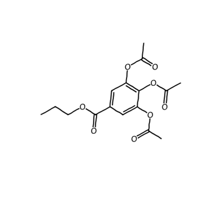 CCCOC(=O)c1cc(OC(C)=O)c(OC(C)=O)c(OC(C)=O)c1